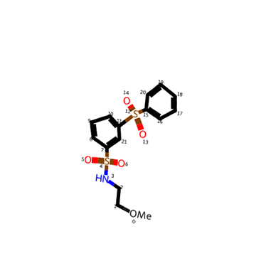 COCCNS(=O)(=O)c1cccc(S(=O)(=O)c2ccccc2)c1